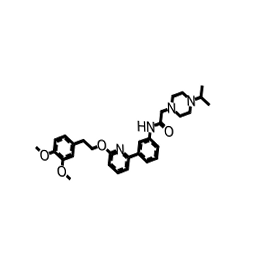 COc1ccc(CCOc2cccc(-c3cccc(NC(=O)CN4CCN(C(C)C)CC4)c3)n2)cc1OC